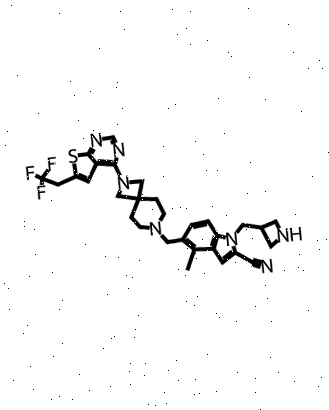 Cc1c(CN2CCC3(CC2)CN(c2ncnc4sc(CC(F)(F)F)cc24)C3)ccc2c1cc(C#N)n2CC1CNC1